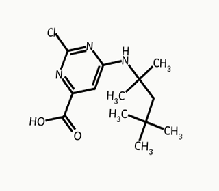 CC(C)(C)CC(C)(C)Nc1cc(C(=O)O)nc(Cl)n1